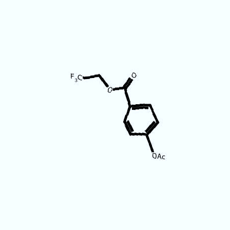 CC(=O)Oc1ccc(C(=O)OCC(F)(F)F)cc1